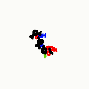 Cc1c(C)n(Cc2ccc(F)c(OC(C)C(=O)O)c2)c2ccc(C(=O)N[C@@H](C)c3cccc(C4CC4)c3)cc12